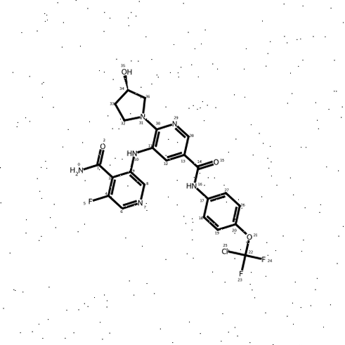 NC(=O)c1c(F)cncc1Nc1cc(C(=O)Nc2ccc(OC(F)(F)Cl)cc2)cnc1N1CC[C@@H](O)C1